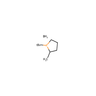 B.CC1CCCP1C(C)(C)C